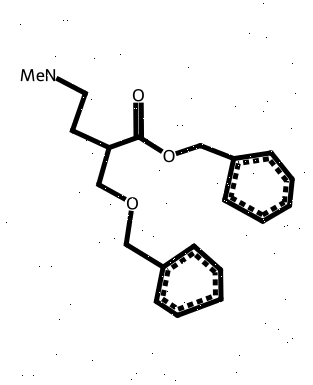 CNCCC(COCc1ccccc1)C(=O)OCc1ccccc1